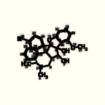 CCN(C)CC1C(O)C2(O)c3c(OC)cncc3OC2(c2ccc(Br)cc2)C1c1ccccc1